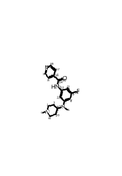 CN1CCC(N(C)c2cc(F)cc(NC(=O)c3ccncc3)c2)CC1